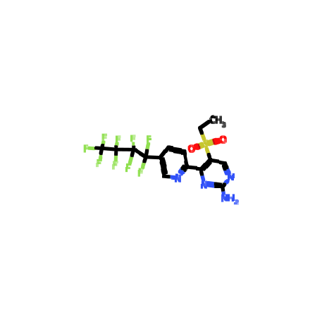 CCS(=O)(=O)c1cnc(N)nc1-c1ccc(C(F)(F)C(F)(F)C(F)(F)C(F)(F)F)cn1